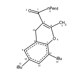 CCCCCC(=O)C1=C(C)Oc2c(cc(C(C)CC)cc2C(C)CC)C1